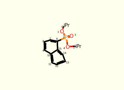 CC(C)OP(=O)(OC(C)C)c1cccc2ccccc12